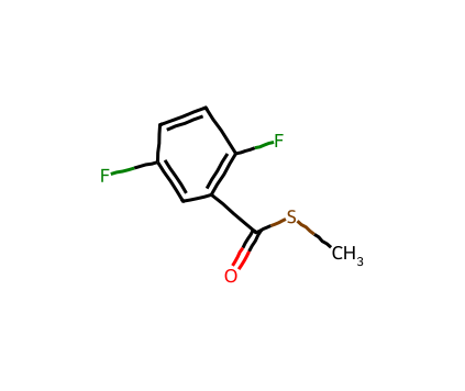 CSC(=O)c1cc(F)ccc1F